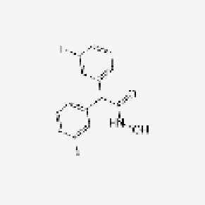 O=C(NO)C(c1cccc(F)c1)c1cccc(F)c1